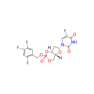 O=c1[nH]c(=O)n([C@H]2C[C@@H]3OP(=O)(OCc4cc(F)c(F)cc4F)OC[C@H]3O2)cc1F